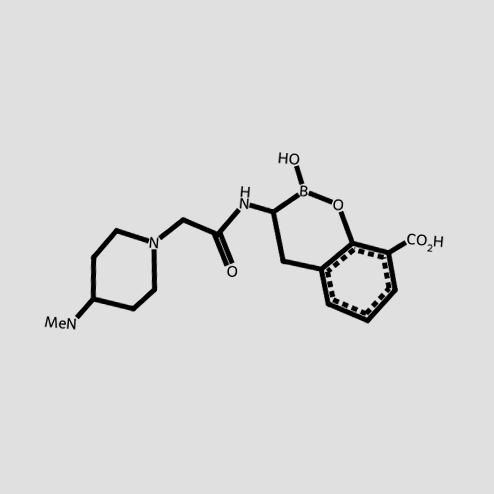 CNC1CCN(CC(=O)NC2Cc3cccc(C(=O)O)c3OB2O)CC1